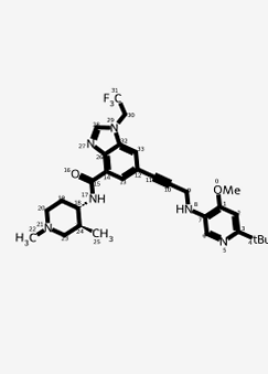 COc1cc(C(C)(C)C)ncc1NCC#Cc1cc(C(=O)N[C@H]2CCN(C)C[C@@H]2C)c2ncn(CC(F)(F)F)c2c1